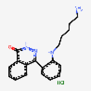 Cl.NCCCCCNc1ccccc1-c1n[nH]c(=O)c2ccccc12